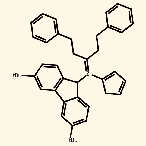 CC(C)(C)c1ccc2c(c1)-c1cc(C(C)(C)C)ccc1[CH]2[Zr]([C]1=CC=CC1)=[C](CCc1ccccc1)CCc1ccccc1